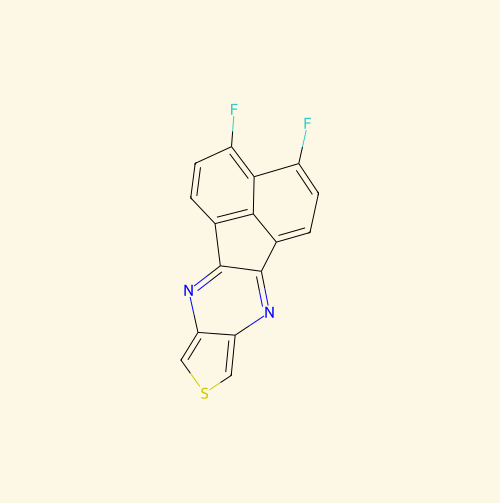 Fc1ccc2c3c(ccc(F)c13)-c1nc3cscc3nc1-2